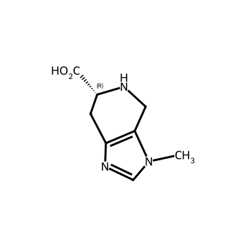 Cn1cnc2c1CN[C@@H](C(=O)O)C2